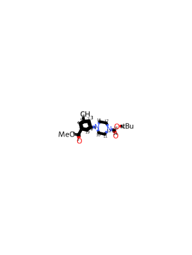 COC(=O)c1cc(C)cc(N2CCN(C(=O)OC(C)(C)C)CC2)c1